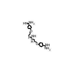 CN(CCCOc1ccc(C(=N)N)cc1)C(=N)NCCCOc1ccc(C(=N)N)cc1